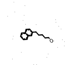 [O]CCCCCc1ccc2ccccc2c1